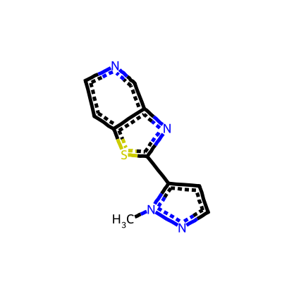 Cn1nccc1-c1nc2cnccc2s1